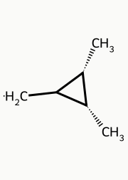 [CH2]C1[C@@H](C)[C@H]1C